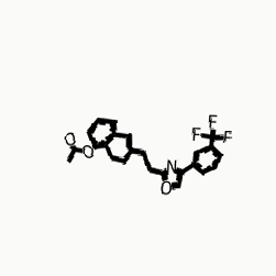 CC(=O)Oc1cccc2c1CCC(CCc1nc(-c3cccc(C(F)(F)F)c3)co1)=C2